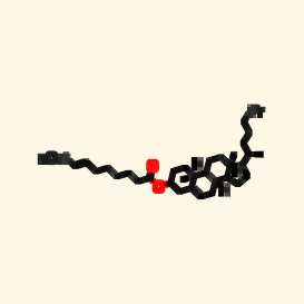 CCCCCCCCC=CCCCCCC(=O)O[C@H]1CC[C@@]2(C)C(=CC[C@H]3[C@@H]4CC[C@H]([C@H](C)CCCC(C)C)[C@@]4(C)CC[C@@H]32)C1